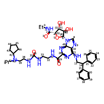 CCNC(=O)[C@H]1O[C@@H](n2cnc3c(NCC(c4ccccc4)c4ccccc4)nc(C(=O)NCCNC(=O)NCCN(C(C)C)C4CCCC4)nc32)[C@H](O)[C@@H]1O